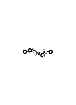 O=C(Cc1nc2ccc(-c3ccccc3)cc2s1)NCc1ccnc(C(=O)OCc2ccccc2)c1